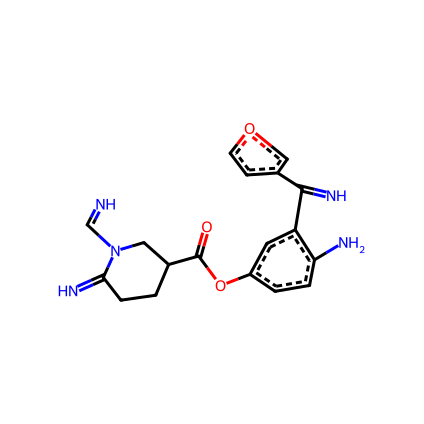 N=CN1CC(C(=O)Oc2ccc(N)c(C(=N)c3ccoc3)c2)CCC1=N